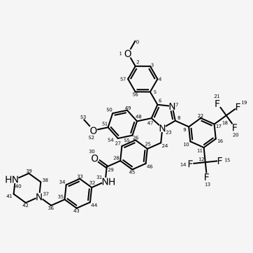 COc1ccc(-c2nc(-c3cc(C(F)(F)F)cc(C(F)(F)F)c3)n(Cc3ccc(C(=O)Nc4ccc(CN5CCNCC5)cc4)cc3)c2-c2ccc(OC)cc2)cc1